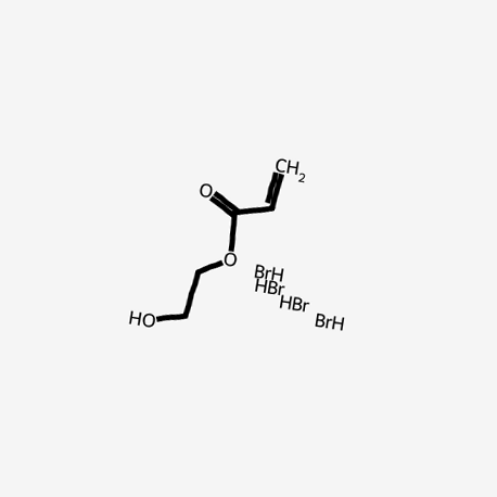 Br.Br.Br.Br.C=CC(=O)OCCO